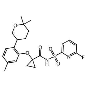 Cc1ccc(C2CCC(C)(C)OC2)c(OC2(C(=O)NS(=O)(=O)c3cccc(F)n3)CC2)c1